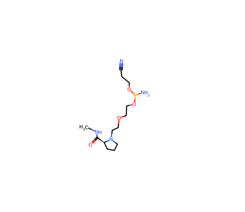 CNC(=O)[C@@H]1CCCN1CCOCCOP(N)OCCC#N